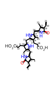 C=CC1=C(C)/C(=C/c2[nH]c(Cc3[nH]c(/C=C4\NC(=O)C(C=C)=C4C)c(C)c3CCC(=O)O)c(CCC(=O)O)c2C)NC1=O